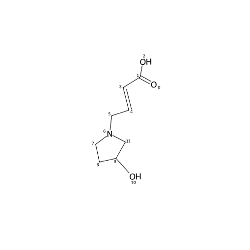 O=C(O)/C=C/CN1CCC(O)C1